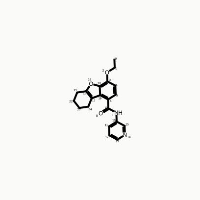 CCOc1ccc(C(=O)Nc2cccnc2)c2c3c(oc12)CCCC3